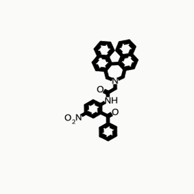 O=C(CN1Cc2ccc3ccccc3c2-c2c(ccc3ccccc23)C1)Nc1ccc([N+](=O)[O-])cc1C(=O)c1ccccc1